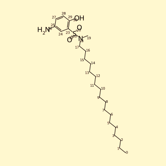 CCCCCCCCCCCCCCCCCCN(C)S(=O)(=O)c1cc(N)ccc1O